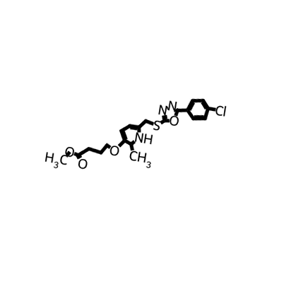 COC(=O)CCCOC1=CC=C(CSc2nnc(-c3ccc(Cl)cc3)o2)NC1C